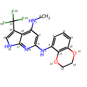 CNc1cc(Nc2cc[c]c3c2OCCO3)nc2[nH]cc(C(F)(F)F)c12